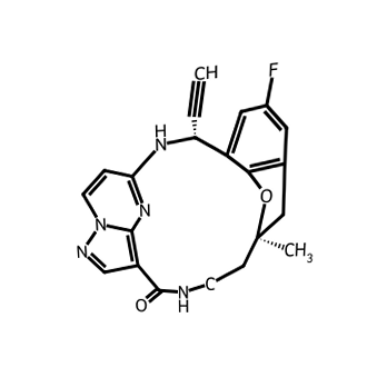 C#C[C@H]1Nc2ccn3ncc(c3n2)C(=O)NCC[C@]2(C)Cc3cc(F)cc1c3O2